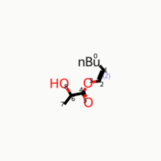 CCCC/C=C\OC(=O)C(C)O